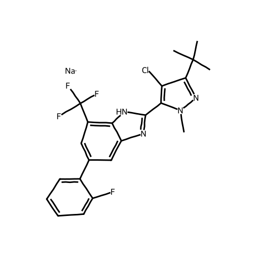 Cn1nc(C(C)(C)C)c(Cl)c1-c1nc2cc(-c3ccccc3F)cc(C(F)(F)F)c2[nH]1.[Na]